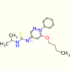 CCCCOc1c/c(=N/C(=S)NC(C)C)cnn1-c1ccccc1